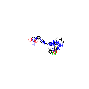 Cc1nc(Nc2ncc(C(=O)Nc3c(C)cccc3Cl)s2)cc(N2CCN(CCCN3CCN(c4cccc(N5CCC(=O)NC5=O)c4)CC3)CC2)n1